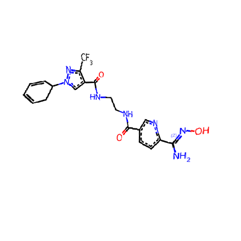 N/C(=N\O)c1ccc(C(=O)NCCNC(=O)c2cn(C3C=CC=CC3)nc2C(F)(F)F)cn1